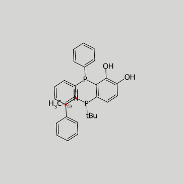 C[C@H](NP(c1ccc(O)c(O)c1P(c1ccccc1)c1ccccc1)C(C)(C)C)c1ccccc1